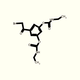 CCNC(=O)Oc1cc(OC(=O)NCC)cc(C(=O)CBr)c1